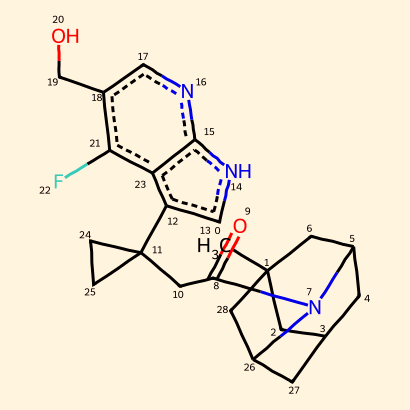 CC12CC3CC(C1)N(C(=O)CC1(c4c[nH]c5ncc(CO)c(F)c45)CC1)C(C3)C2